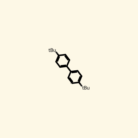 CC(C)(C)c1[c]cc(-c2ccc(C(C)(C)C)cc2)cc1